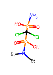 CCN(CC)P(=O)(O)C(Cl)(Cl)P(N)(=O)O